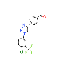 O=Cc1ccc(-c2cn(-c3ccc(Cl)c(C(F)(F)F)c3)nn2)cc1